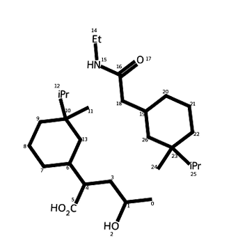 CC(O)CC(C(=O)O)C1CCCC(C)(C(C)C)C1.CCNC(=O)CC1CCCC(C)(C(C)C)C1